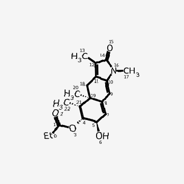 CCC(=O)O[C@H]1[C@H](O)C=C2C=C3C(=C(C)C(=O)N3C)C[C@]2(C)[C@H]1C